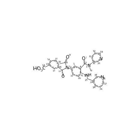 CN(C(=O)c1cc(N2C(=O)c3ccc(C(=O)O)cc3C2=O)ccc1NCc1cccnc1)c1cccnc1